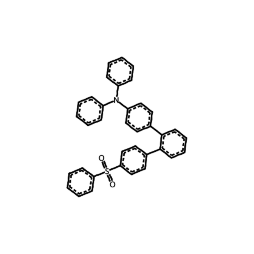 O=S(=O)(c1ccccc1)c1ccc(-c2ccccc2-c2ccc(N(c3ccccc3)c3ccccc3)cc2)cc1